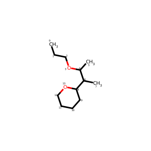 CCCOC(C)C(C)C1CCCCO1